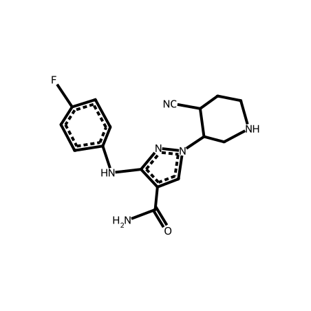 N#CC1CCNCC1n1cc(C(N)=O)c(Nc2ccc(F)cc2)n1